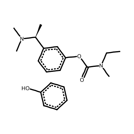 CCN(C)C(=O)Oc1cccc([C@H](C)N(C)C)c1.Oc1ccccc1